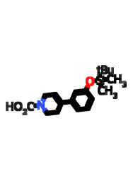 CC(C)(C)[Si](C)(C)Oc1cccc(C2=CCN(C(=O)O)CC2)c1